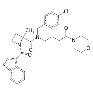 CC1(C(=O)N(CCCC(=O)N2CCOCC2)Cc2ccc(Cl)cc2)CCN1C(=O)c1csc2ccccc12